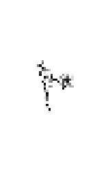 C=C(C)C(=O)OC(CCCCCCCCC)OC(=O)CCP(=O)(O)O